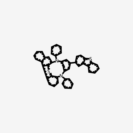 c1ccc(N2c3cc(-c4ccc5sc6ccccc6c5c4)cc(c3)N(c3ccccc3)c3cc4ccccc4c4c3sc3c2cccc34)cc1